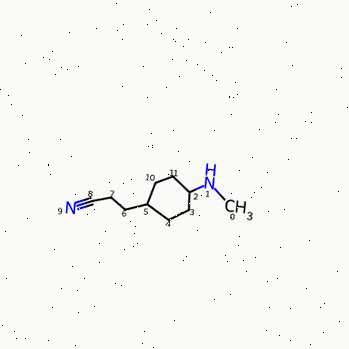 CNC1CCC(CCC#N)CC1